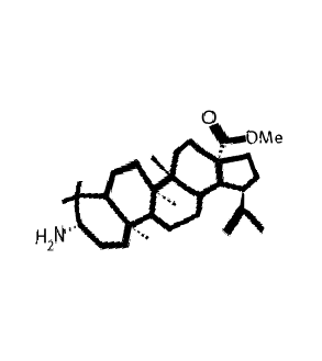 C=C(C)[C@@H]1CC[C@]2(C(=O)OC)CC[C@]3(C)C(CCC4[C@@]5(C)CC[C@H](N)C(C)(C)C5CC[C@]43C)C12